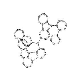 c1ccc(-c2ccccc2-n2c3ccccc3c3cc(N(c4ccc5ccccc5c4)c4cccc5c4-c4c6ccccc6cc6cccc-5c46)ccc32)cc1